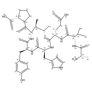 CC[C@H](C)[C@H](NC(=O)[C@H](Cc1ccc(O)cc1)NC(=O)[C@H](Cc1c[nH]cn1)NC(=O)[C@H](CCC(=O)O)NC(=O)[C@@H](NC(=O)[C@H](C)N)C(C)C)C(=O)N1CCC[C@H]1C(=O)O